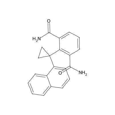 NC(=O)c1cccc(C(N)=O)c1C1(c2cccc3ccccc23)CC1